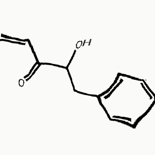 C=CC(=O)C(O)Cc1c[c]ccc1